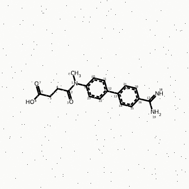 CN(C(=O)CCC(=O)O)c1ccc(-c2ccc(C(=N)N)cc2)cc1